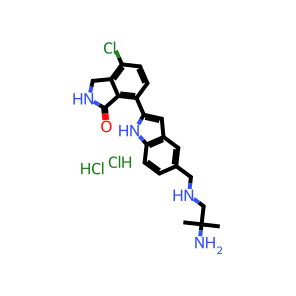 CC(C)(N)CNCc1ccc2[nH]c(-c3ccc(Cl)c4c3C(=O)NC4)cc2c1.Cl.Cl